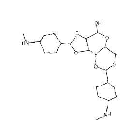 CNC1CCC(C2OCC3OC(O)C4OC(C5CCC(NC)CC5)OC4C3O2)CC1